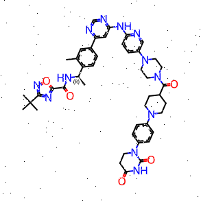 Cc1cc(-c2cc(Nc3ccc(N4CCN(C(=O)C5CCN(c6ccc(N7CCC(=O)NC7=O)cc6)CC5)CC4)cn3)ncn2)ccc1[C@@H](C)NC(=O)c1nc(C(C)(C)C)no1